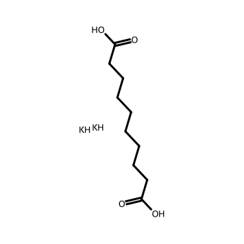 O=C(O)CCCCCCCCC(=O)O.[KH].[KH]